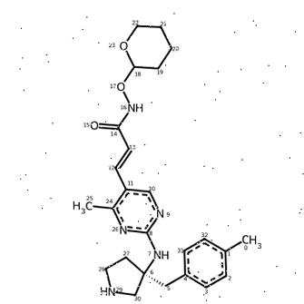 Cc1ccc(C[C@@]2(Nc3ncc(/C=C/C(=O)NOC4CCCCO4)c(C)n3)CCNC2)cc1